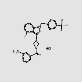 Cl.Nc1cc(C(=O)N2CC(c3nn(Cc4ccc(C(F)(F)F)cc4)c4cccc(F)c34)C2)ccn1